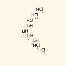 Cl.Cl.Cl.Cl.Cl.[LiH].[LiH].[LiH].[LiH]